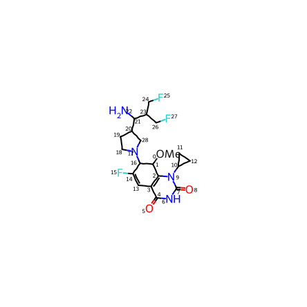 COC1c2c(c(=O)[nH]c(=O)n2C2CC2)C=C(F)C1N1CCC(C(N)C(CF)CF)C1